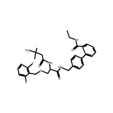 CCNC(=O)c1ccccc1-c1ccc(CNC(=O)C(COCc2c(F)cccc2F)NC(=O)CC(C)(C)N)cc1